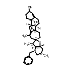 CC1=C2C[C@H]3[C@@H](CCC4=CC(O)CC[C@@]43C)[C@@H]2CC[C@@]2(C1)O[C@@H]1C[C@H](C)CN(Cc3ccccc3)[C@H]1[C@H]2C